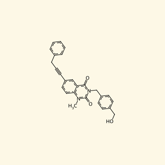 Cn1c(=O)n(Cc2ccc(CO)cc2)c(=O)c2cc(C#CCc3ccccc3)ccc21